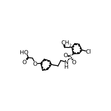 C=Cc1ccc(Cl)cc1S(=O)(=O)NCCc1ccc(OCC(=O)O)cc1